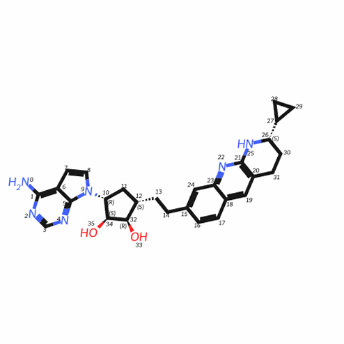 Nc1ncnc2c1ccn2[C@@H]1C[C@H](CCc2ccc3cc4c(nc3c2)N[C@H](C2CC2)CC4)[C@@H](O)[C@H]1O